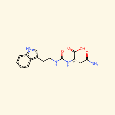 NC(=O)C[C@H](NC(=O)NCCc1c[nH]c2ccccc12)C(=O)O